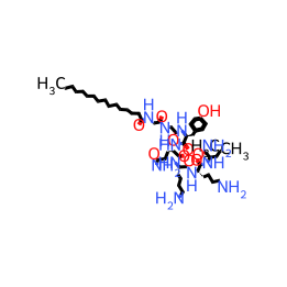 CCCCCCCCCCCCCCCC(=O)NCC(=O)NCC(=O)N[C@@H](Cc1ccc(O)cc1)C(=O)N[C@@H](CCC(N)=O)C(=O)N[C@@H](CCCCN)C(=O)N[C@@H](CCCCN)C(=O)NC(CC(C)C)C(N)=O